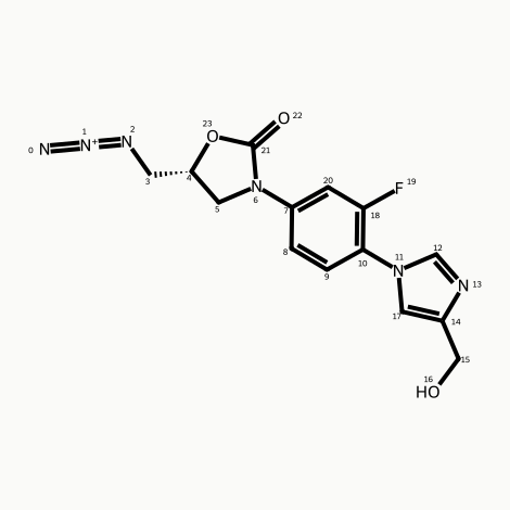 [N-]=[N+]=NC[C@H]1CN(c2ccc(-n3cnc(CO)c3)c(F)c2)C(=O)O1